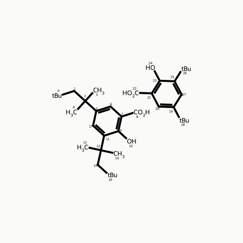 CC(C)(C)CC(C)(C)c1cc(C(=O)O)c(O)c(C(C)(C)CC(C)(C)C)c1.CC(C)(C)c1cc(C(=O)O)c(O)c(C(C)(C)C)c1